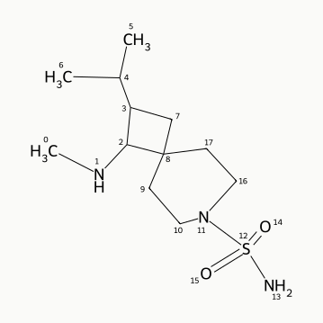 CNC1C(C(C)C)CC12CCN(S(N)(=O)=O)CC2